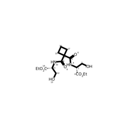 CCOC(=O)[C@@H](CO)NC(=O)C1(C(=O)N[C@H](CO)C(=O)OCC)CCC1